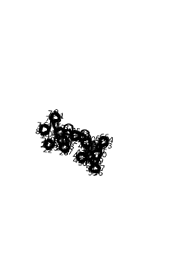 c1ccc(N(c2ccccc2)c2cc3c4c(c2)N(c2ccccc2)c2ccccc2B4c2cc4c(cc2O3)oc2cc3c(cc24)B2c4ccccc4-n4c5ccccc5c5cc6c7ccccc7n-3c6c2c54)cc1